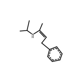 CC(=CCc1ccccc1)NC(C)C